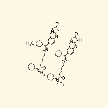 CN(C(=O)CCCCON=C(c1ccccc1)c1ccc2c(c1)CN1CC(=O)NC1=N2)C1CCCCC1.CN(C(=O)CCCCON=C(c1ccccc1)c1ccc2c(c1)CN1CC(=O)NC1=N2)C1CCCCC1.O